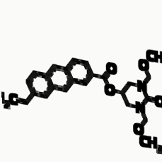 C=Cc1ccc2cc3ccc(C(=O)OC4CN(COC)C(=O)N(COC)C4)cc3cc2c1